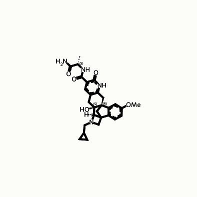 COc1ccc2c(c1)[C@@]13Cc4[nH]c(=O)c(C(=O)N[C@@H](C)C(N)=O)cc4C[C@@]1(O)[C@@H]1N(CC4CC4)CC21C3